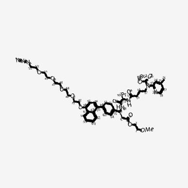 COCCOC(=O)C[C@H](NC(=O)[C@H](NC(=O)CCCN(C(=O)OC(C)(C)C)c1cc(C)ccn1)C(C)C)c1ccc(-c2ccc(OCCOCCOCCOCCOCCN=[N+]=[N-])c3ccccc23)cc1